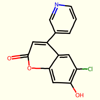 O=c1cc(-c2cccnc2)c2cc(Cl)c(O)cc2o1